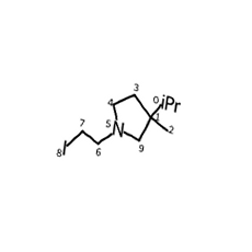 CC(C)C1(C)CCN(CCI)C1